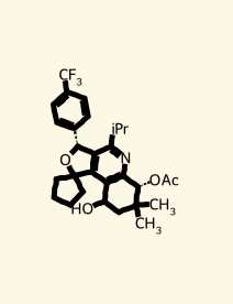 CC(=O)O[C@H]1c2nc(C(C)C)c3c(c2C(O)CC1(C)C)C1(CCCC1)O[C@@H]3c1ccc(C(F)(F)F)cc1